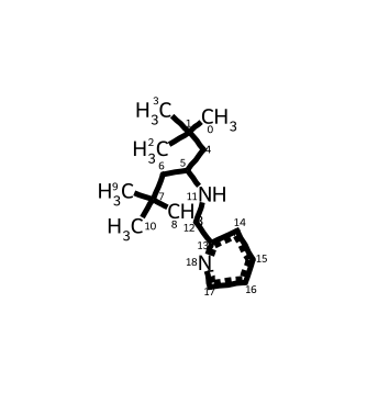 CC(C)(C)CC(CC(C)(C)C)NCc1ccccn1